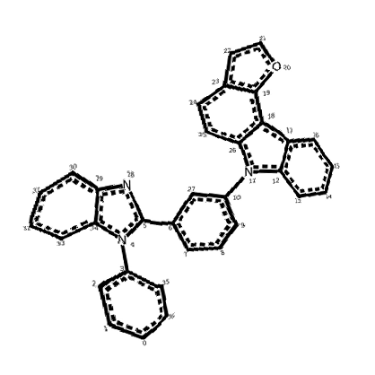 c1ccc(-n2c(-c3cccc(-n4c5ccccc5c5c6occc6ccc54)c3)nc3ccccc32)cc1